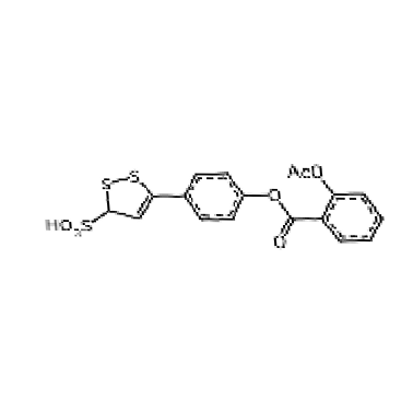 CC(=O)Oc1ccccc1C(=O)Oc1ccc(C2=CC(S(=O)(=O)O)SS2)cc1